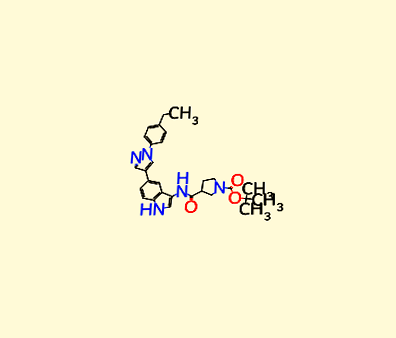 CCc1ccc(-n2cc(-c3ccc4[nH]cc(NC(=O)C5CCN(C(=O)OC(C)(C)C)C5)c4c3)cn2)cc1